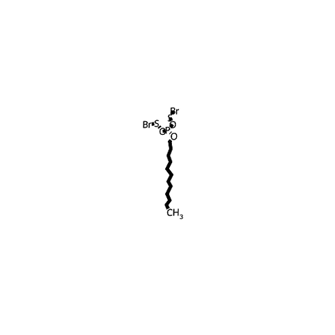 CCCCCCCCCCCCOP(OSBr)OSBr